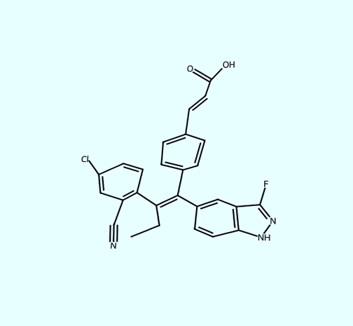 CC/C(=C(/c1ccc(/C=C/C(=O)O)cc1)c1ccc2[nH]nc(F)c2c1)c1ccc(Cl)cc1C#N